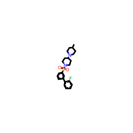 CC1CCN(C2CCN(S(=O)(=O)c3cccc(-c4ccccc4F)c3)CC2)CC1